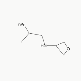 CCCC(C)CNC1COC1